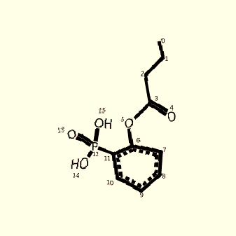 CCCC(=O)Oc1ccccc1P(=O)(O)O